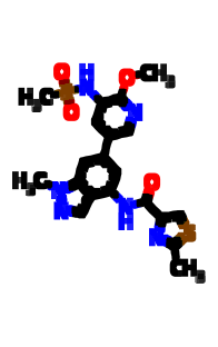 COc1ncc(-c2cc(NC(=O)c3csc(C)n3)c3cnn(C)c3c2)cc1NS(C)(=O)=O